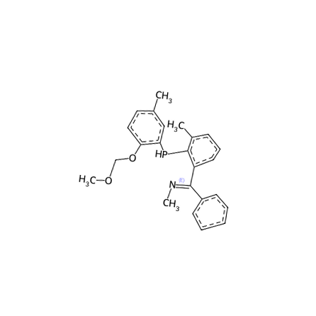 C/N=C(\c1ccccc1)c1cccc(C)c1Pc1cc(C)ccc1OCOC